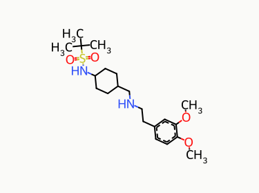 COc1ccc(CCNCC2CCC(NS(=O)(=O)C(C)(C)C)CC2)cc1OC